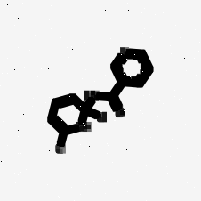 O=C(NC1(Cl)C=CC=C(Cl)N1)c1cccnc1